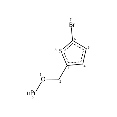 CCCOCc1ccc(Br)s1